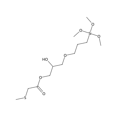 CO[Si](CCCOCC(O)COC(=O)CSC)(OC)OC